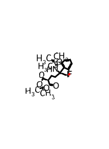 CC1(C)OC(=O)C(CCC(CF)(N[S+]([O-])C(C)(C)C)c2ccccc2F)C(=O)O1